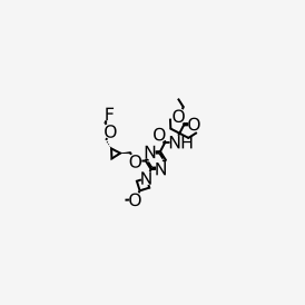 CCOC(=O)C(CC)(CC)NC(=O)c1cnc(N2CC(OC)C2)c(OC[C@H]2C[C@@H]2COCF)n1